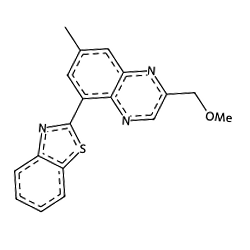 COCc1cnc2c(-c3nc4ccccc4s3)cc(C)cc2n1